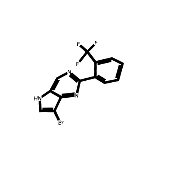 FC(F)(F)c1ccccc1-c1ncc2[nH]cc(Br)c2n1